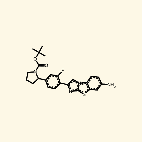 CC(C)(C)OC(=O)N1CCCC1c1ccc(-c2cn3c(n2)sc2cc(N)ccc23)c(F)c1